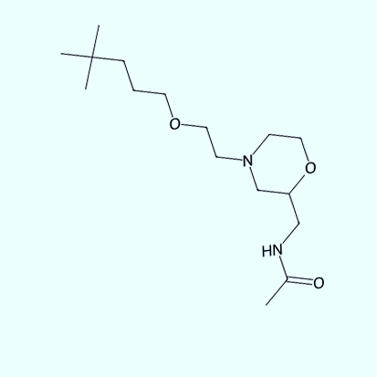 CC(=O)NCC1CN(CCOCCCC(C)(C)C)CCO1